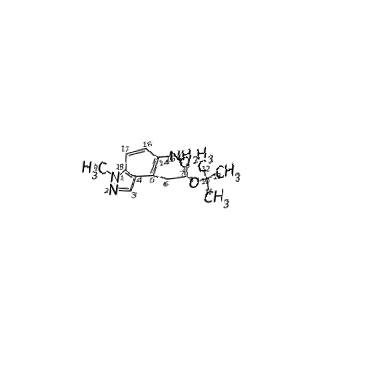 Cn1ncc2c(CC(=O)OC(C)(C)C)c(N)ccc21